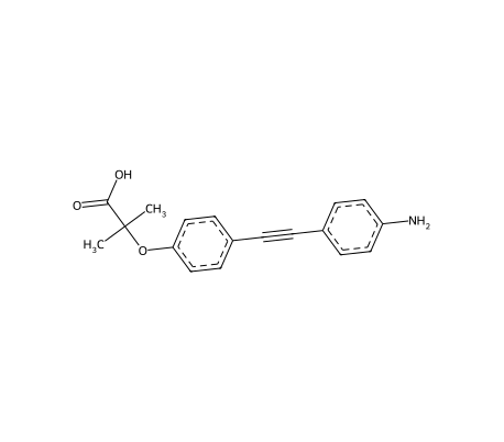 CC(C)(Oc1ccc(C#Cc2ccc(N)cc2)cc1)C(=O)O